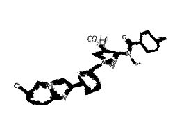 CC1CCC(C(=O)N(c2nn(-c3ccc(-c4cn5cc(Cl)ccc5n4)s3)cc2C(=O)O)C(C)C)CC1